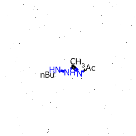 CCCCNN/C(C)=N/C(C)=O